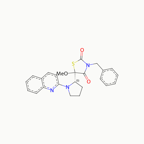 COC1([C@@H]2CCCN2c2ccc3ccccc3n2)SC(=O)N(Cc2ccccc2)C1=O